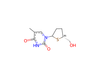 Cc1cn(C2CC[C@H](CO)S2)c(=O)[nH]c1=O